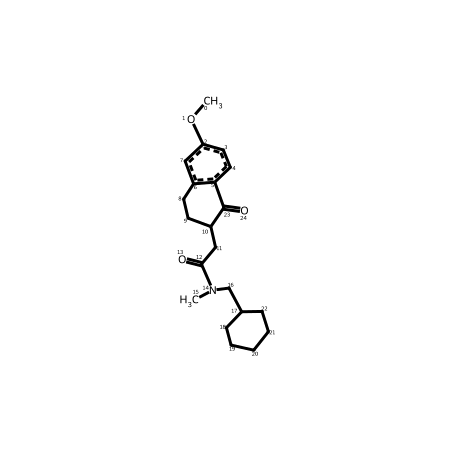 COc1ccc2c(c1)CCC(CC(=O)N(C)CC1CCCCC1)C2=O